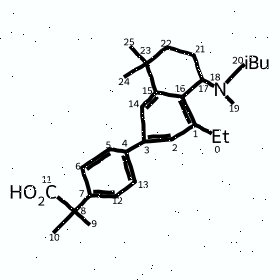 CCc1cc(-c2ccc(C(C)(C)C(=O)O)cc2)cc2c1C(N(C)C(C)CC)CCC2(C)C